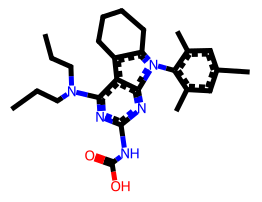 CCCN(CCC)c1nc(NC(=O)O)nc2c1c1c(n2-c2c(C)cc(C)cc2C)CCCC1